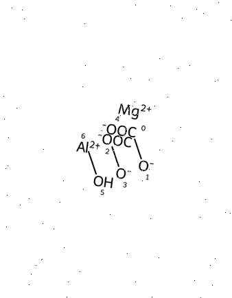 O=C([O-])[O-].O=C([O-])[O-].[Mg+2].[OH][Al+2]